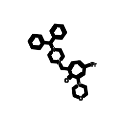 CC(C)c1ccc(CN2CCN(C(c3ccccc3)c3ccccc3)CC2)c(=O)c(N2CCOCC2)c1